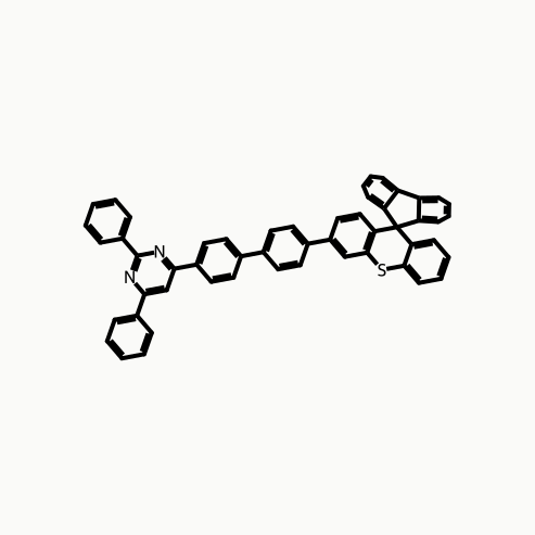 c1ccc(-c2cc(-c3ccc(-c4ccc(-c5ccc6c(c5)Sc5ccccc5C65c6ccccc6-c6ccccc65)cc4)cc3)nc(-c3ccccc3)n2)cc1